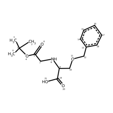 CC(C)(C)OC(=O)CNC(COCc1ccccc1)C(=O)O